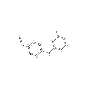 Cc1cccc(Oc2ccc(C=O)nc2)c1